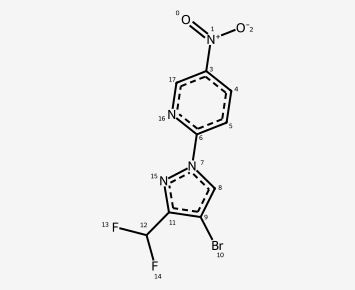 O=[N+]([O-])c1ccc(-n2cc(Br)c(C(F)F)n2)nc1